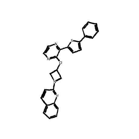 c1ccc(-c2ccc(-c3nccnc3OC3CN(c4ccc5ccccc5n4)C3)s2)cc1